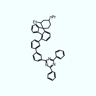 CCCC1CCC2(c3ccccc3-c3c(-c4cccc(-c5cccc(-c6nc(-c7ccccc7)nc(-c7ccccc7)n6)c5)c4)cccc32)C(CC)C1